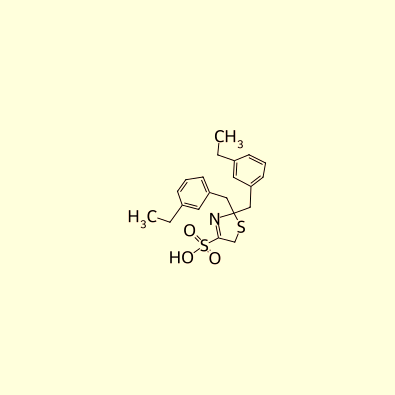 CCc1cccc(CC2(Cc3cccc(CC)c3)N=C(S(=O)(=O)O)CS2)c1